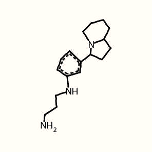 NCCCNc1cccc(C2CCC3CCCCN32)c1